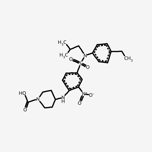 CCc1ccc(N(CC(C)C)S(=O)(=O)c2ccc(NC3CCN(C(=O)O)CC3)c([N+](=O)[O-])c2)cc1